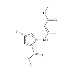 COC(=O)C=C(C)Nn1cc(Br)cc1C(=O)OC